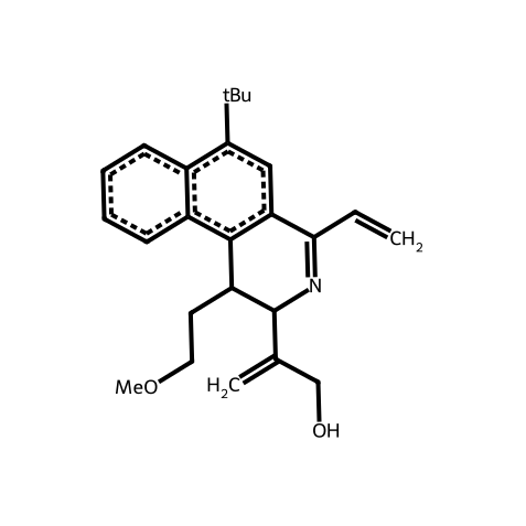 C=CC1=NC(C(=C)CO)C(CCOC)c2c1cc(C(C)(C)C)c1ccccc21